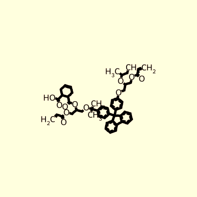 C=CC(=O)OCC(COC(C)(C)c1ccc(C2(c3ccc(OCC(COC(=O)C=C)OC(C)CC)cc3)c3ccccc3-c3ccccc32)cc1)OC(=O)C1CC=CCC1C(=O)O